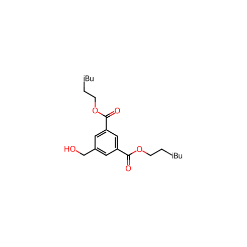 CCC(C)CCOC(=O)c1cc(CO)cc(C(=O)OCCC(C)CC)c1